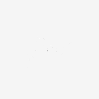 C#Cc1cccc(N2C(=O)c3c(C)nc4ccc(S(=O)(=O)N5CCCC5)cc4c3C2=O)c1